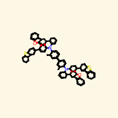 Cc1cc(-c2ccc(N(c3ccc(-c4ccc5sc6ccccc6c5c4)cc3)c3ccccc3-c3ccc4oc5ccccc5c4c3)c(C)c2)ccc1N(c1ccc(-c2ccc3sc4ccccc4c3c2)cc1)c1ccccc1-c1ccc2oc3ccccc3c2c1